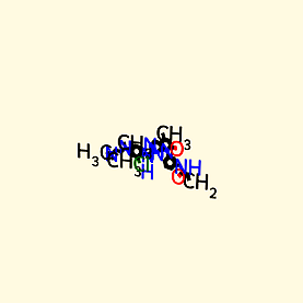 C=CC(=O)Nc1cccc(-n2c(=O)cc(C)c3cnc(Nc4ccc(N(C)CCN(C)C)cc4Cl)nc32)c1